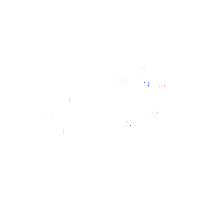 Cn1c(=O)c([N+](=O)[O-])c(O)c2cc(C(F)(F)F)ccc21